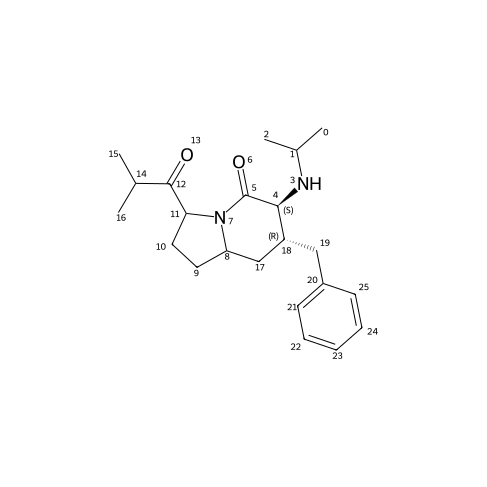 CC(C)N[C@@H]1C(=O)N2C(CCC2C(=O)C(C)C)C[C@H]1Cc1ccccc1